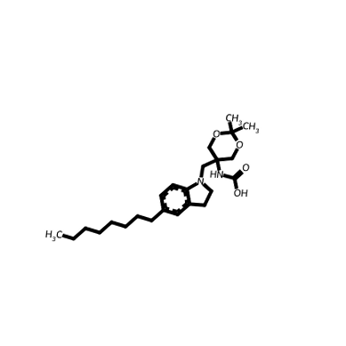 CCCCCCCCc1ccc2c(c1)CCN2CC1(NC(=O)O)COC(C)(C)OC1